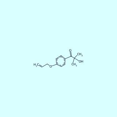 C=CCOc1ccc(C(=O)C(C)(C)O)cc1